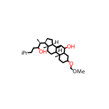 COCOC1CC[C@@]2(C)C(C1)C(O)C=C1[C@@H]3CC[C@H]([C@H](C)C(O)CCC(C)C)[C@@]3(C)CC[C@@H]12